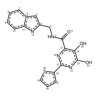 O=C(NCc1cn2ccccc2n1)c1nc(-c2cccs2)nc(O)c1O